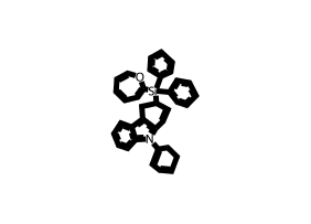 C1=CC=C([Si](c2ccccc2)(c2ccccc2)C2C=Cc3c(c4ccccc4n3C3=CC=CCC3)C2)OC=C1